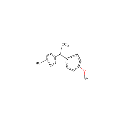 CCCOc1ccc(C(c2ccc(C(C)(C)C)cc2)C(Cl)(Cl)Cl)cc1